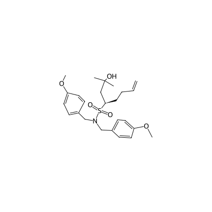 C=CCC[C@H](CC(C)(C)O)S(=O)(=O)N(Cc1ccc(OC)cc1)Cc1ccc(OC)cc1